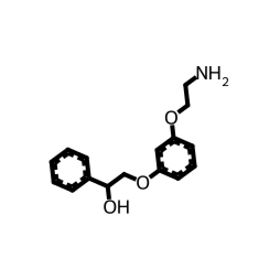 NCCOc1cccc(OCC(O)c2ccccc2)c1